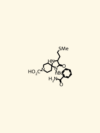 CCCCN1C(=O)C(CCSC)NC12CCN(C(=O)O)CC2.NC(=O)c1ccccc1